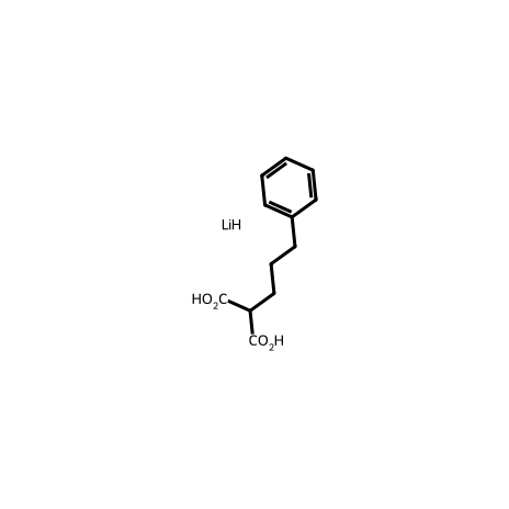 O=C(O)C(CCCc1ccccc1)C(=O)O.[LiH]